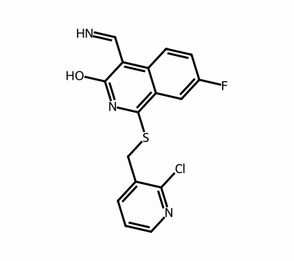 N=Cc1c(O)nc(SCc2cccnc2Cl)c2cc(F)ccc12